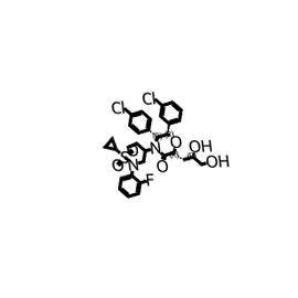 CCC(CN(c1ccccc1F)S(=O)(=O)C1CC1)N1C(=O)[C@@H](C[C@@H](O)CO)O[C@H](c2cccc(Cl)c2)[C@H]1c1ccc(Cl)cc1